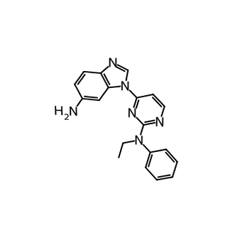 CCN(c1ccccc1)c1nccc(-n2cnc3ccc(N)cc32)n1